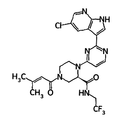 CC(C)=CC(=O)N1CCN(c2ccnc(-c3c[nH]c4ncc(Cl)cc34)n2)[C@@H](C(=O)NCC(F)(F)F)C1